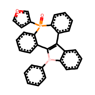 O=P1(c2ccoc2)c2ccccc2C2=C(c3ccccc3B2c2ccccc2)c2ccccc21